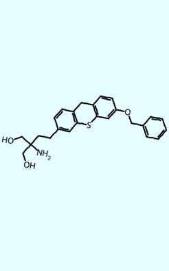 NC(CO)(CO)CCc1ccc2c(c1)Sc1cc(OCc3ccccc3)ccc1C2